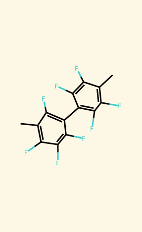 Cc1c(F)c(F)c(-c2c(F)c(C)c(F)c(F)c2F)c(F)c1F